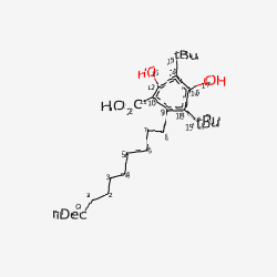 CCCCCCCCCCCCCCCCCCc1c(C(=O)O)c(O)c(C(C)(C)C)c(O)c1C(C)(C)C